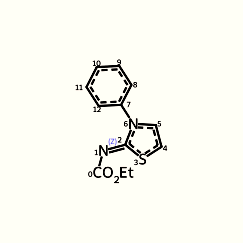 CCOC(=O)/N=c1\sccn1-c1ccccc1